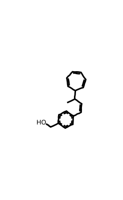 CC(/C=C\c1ccc(CO)cc1)C1C=CC=CC=C1